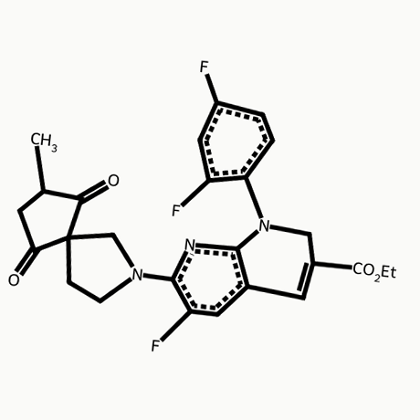 CCOC(=O)C1=Cc2cc(F)c(N3CCC4(C3)C(=O)CC(C)C4=O)nc2N(c2ccc(F)cc2F)C1